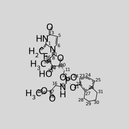 C=C1NC(=O)C=CN1[C@@H]1O[C@H](COP(=O)(NCC(=O)OC)Oc2cccc3c2CCCC3)[C@@H](O)[C@@]1(C)F